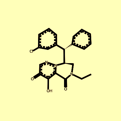 CCN1C[C@H]([C@@H](c2ccccc2)c2cccc(Cl)c2)n2ncc(=O)c(O)c2C1=O